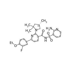 CCOc1ccc(-c2ccc(C(=O)NS(=O)(=O)c3cccnc3N)c(N3C[C@@H](C)CC3(C)C)n2)cc1F